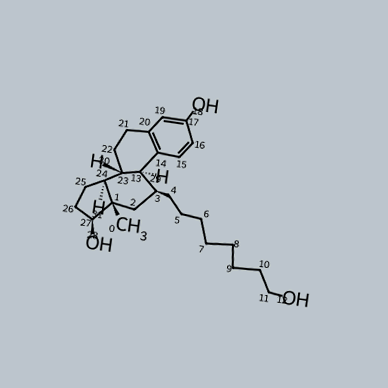 C[C@]12C[C@H](CCCCCCCCO)[C@@H]3c4ccc(O)cc4CC[C@H]3[C@@H]1CC[C@@H]2O